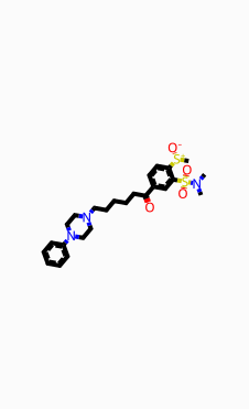 CN(C)S(=O)(=O)c1cc(C(=O)CCCCCN2CCN(c3ccccc3)CC2)ccc1[S+](C)[O-]